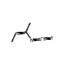 C/C=C(/C)N=C=S